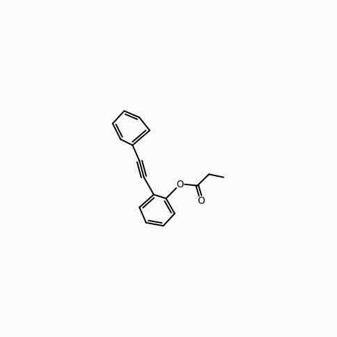 CCC(=O)Oc1ccccc1C#Cc1ccccc1